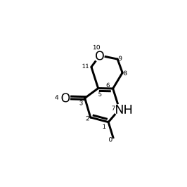 Cc1cc(=O)c2c([nH]1)CCOC2